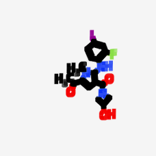 CC(=O)c1cc(C(=O)N2CC(O)C2)c(Nc2ccc(I)cc2F)n1C